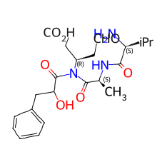 CC(C)[C@H](N)C(=O)N[C@@H](C)C(=O)N(C(=O)C(O)Cc1ccccc1)[C@H](CC=O)CC(=O)O